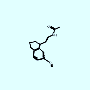 COc1ccc2c(c1)C(CCNC(C)=O)CCC2